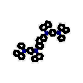 c1ccc(N(c2ccc(N(c3ccc4c(ccc5cc(N(c6ccc(N(c7ccccc7)c7cccc8ccccc78)cc6)c6cccc7ccccc67)ccc54)c3)c3cccc4ccccc34)cc2)c2cccc3ccccc23)cc1